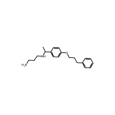 CC(NCCCN)c1ccc(OCCCc2ccccc2)cc1